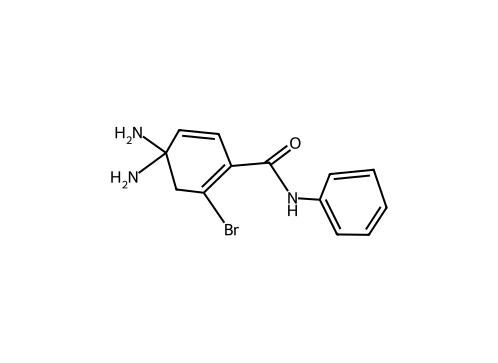 NC1(N)C=CC(C(=O)Nc2ccccc2)=C(Br)C1